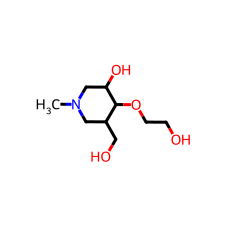 CN1CC(O)C(OCCO)C(CO)C1